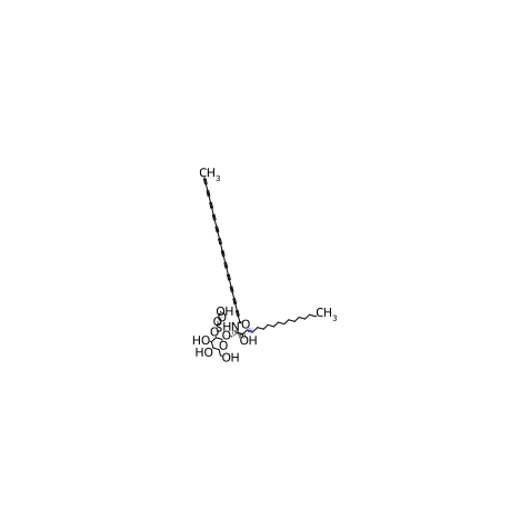 CC#CC#CC#CC#CC#CC#CC#CC#CC#CC#CC#CC#CC(=O)N[C@@H](COC1OC(CO)C(O)C(O)C1OSOOO)[C@H](O)/C=C/CCCCCCCCCCCCC